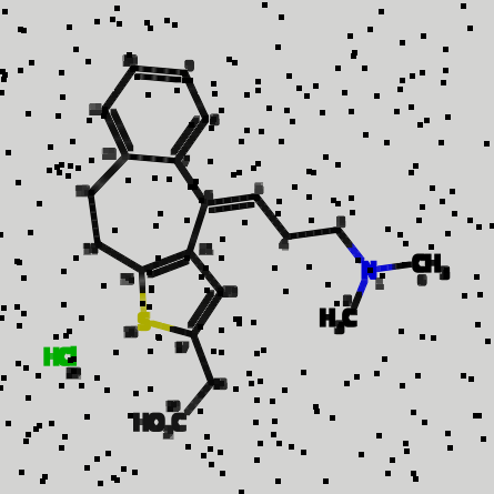 CN(C)CCC=C1c2ccccc2CCc2sc(CC(=O)O)cc21.Cl